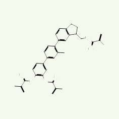 C=C(C)C(=O)OCC1CCc2ccc(-c3ccc(-c4ccc(OC(=O)C(=C)C)c(OC(=O)C(=C)C)c4)cc3C)cc21